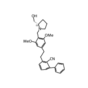 COc1cc(CCc2cccc(-c3ccccc3)c2C#N)cc(OC)c1CN1CCC[C@H]1CO